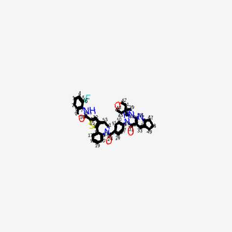 Cc1cccc(F)c1NC(=O)c1cc2c(s1)-c1ccccc1N(C(=O)c1ccc(NC(=O)c3cc4c(nc3N3CC5(CCOCC5)C3)CCC4)cc1)CC2